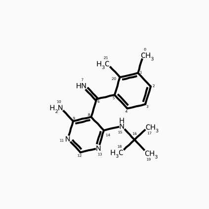 Cc1cccc(C(=N)c2c(N)ncnc2NC(C)(C)C)c1C